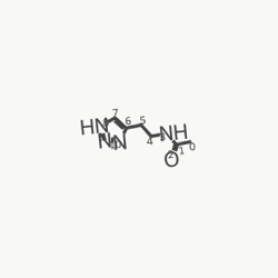 CC(=O)NCCc1c[nH]nn1